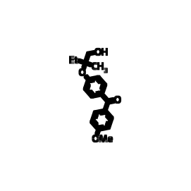 CCC(C)(CO)Oc1ccc(C(=O)c2ccc(OC)cc2)cc1